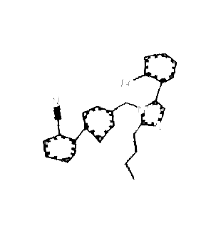 CCCCc1ncc(-c2ccccc2Br)n1Cc1ccc(-c2ccccc2C#N)cc1